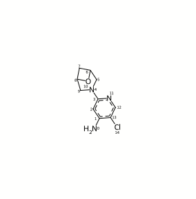 Nc1cc(N2CC3CC(C2)O3)ncc1Cl